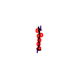 CCC(C)(I)OCCOCCOCCOC(=O)CCC(=O)C(C)(I)CC